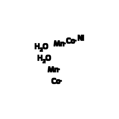 O.O.[Co].[Co].[Mn].[Mn].[Ni]